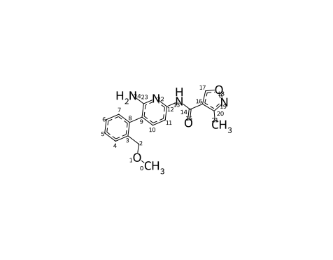 COCc1ccccc1-c1ccc(NC(=O)c2conc2C)nc1N